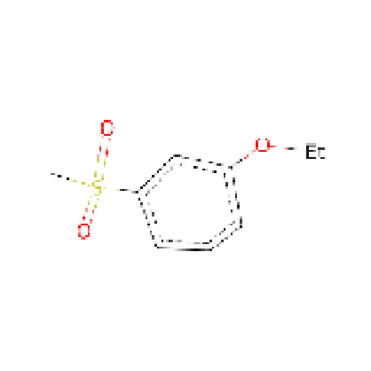 CCOc1cccc(S(C)(=O)=O)c1